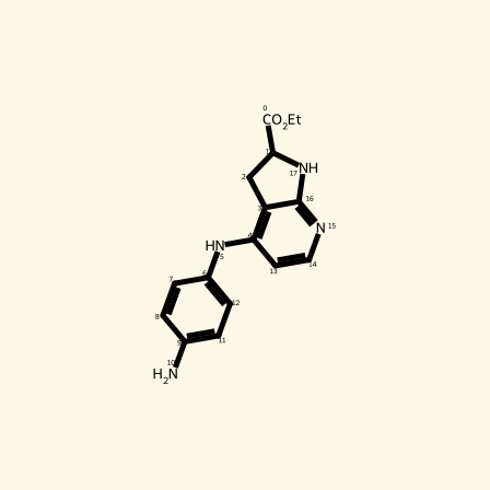 CCOC(=O)C1Cc2c(Nc3ccc(N)cc3)ccnc2N1